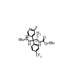 C[C@H](NC(=O)OC(C)(C)C)C(N[S@+]([O-])C(C)(C)C)(c1ccc(C(F)(F)F)cc1)c1ccnc(F)c1